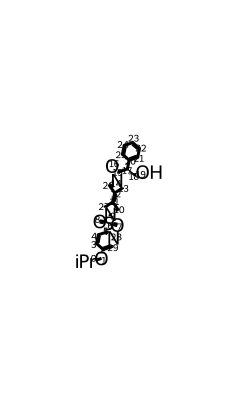 CC(C)Oc1ccc(S(=O)(=O)N2CC(=C3CN(C(=O)[C@H](CO)c4ccccc4)C3)C2)nc1